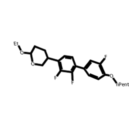 CCCCCOc1ccc(-c2ccc(C3CCC(OCC)OC3)c(F)c2F)cc1F